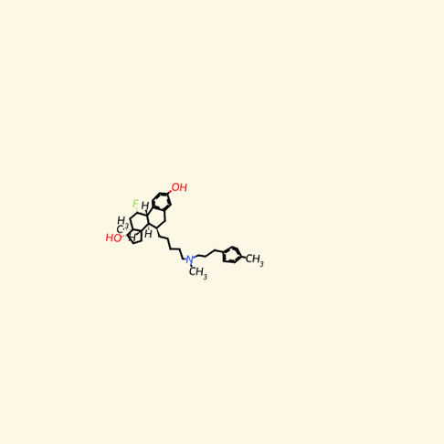 Cc1ccc(CCCN(C)CCCCC[C@@H]2Cc3cc(O)ccc3[C@@H]3[C@@H]2[C@@H]2CC[C@H](O)[C@@]2(C)C[C@@H]3F)cc1